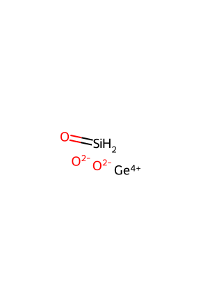 O=[SiH2].[Ge+4].[O-2].[O-2]